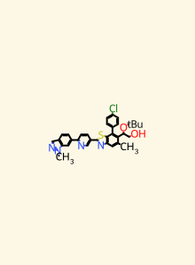 Cc1cc2nc(-c3ccc(-c4ccc5cnn(C)c5c4)nc3)sc2c(-c2ccc(Cl)cc2)c1C(CO)OC(C)(C)C